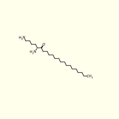 CCCCCCCCCCCCCCC[CH]C(=O)[C@@H](N)CCCCN